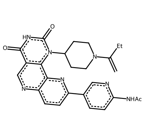 C=C(CC)N1CCC(n2c(=O)[nH]c(=O)c3cnc4ccc(-c5ccc(NC(C)=O)nc5)nc4c32)CC1